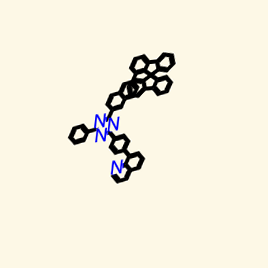 c1ccc(-c2nc(-c3ccc(-c4cccc5cccnc45)cc3)nc(-c3ccc4cc(-c5cccc6c5C5(c7ccccc7-c7ccccc75)c5ccccc5-6)ccc4c3)n2)cc1